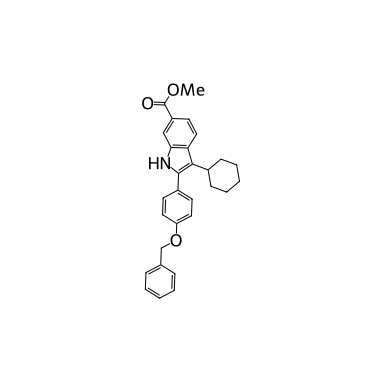 COC(=O)c1ccc2c(C3CCCCC3)c(-c3ccc(OCc4ccccc4)cc3)[nH]c2c1